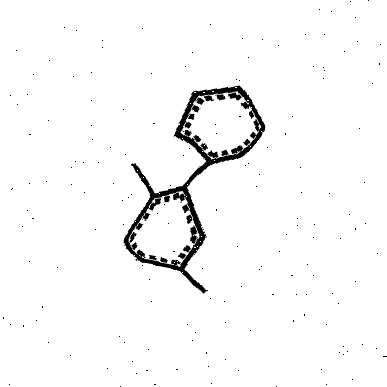 Cc1[c]cc(C)c(-c2ccccc2)c1